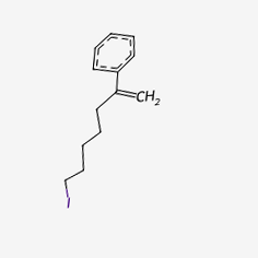 C=C(CCCCCI)c1ccccc1